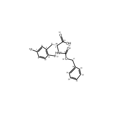 O=C(N[C@H](Cc1cc(F)ccc1F)C(=O)O)OCc1ccccc1